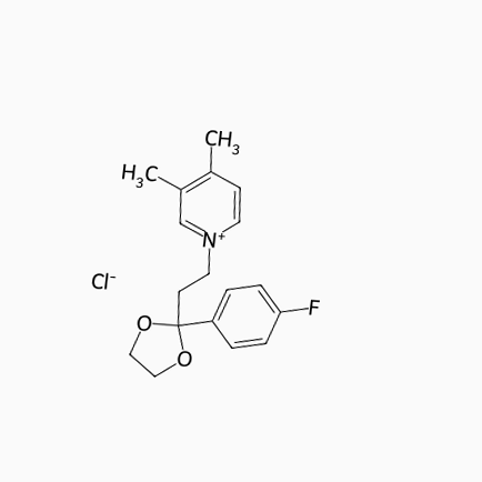 Cc1cc[n+](CCC2(c3ccc(F)cc3)OCCO2)cc1C.[Cl-]